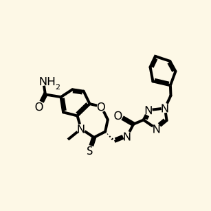 CN1C(=S)[C@@H](/C=N\C(=O)c2ncn(Cc3ccccc3)n2)COc2ccc(C(N)=O)cc21